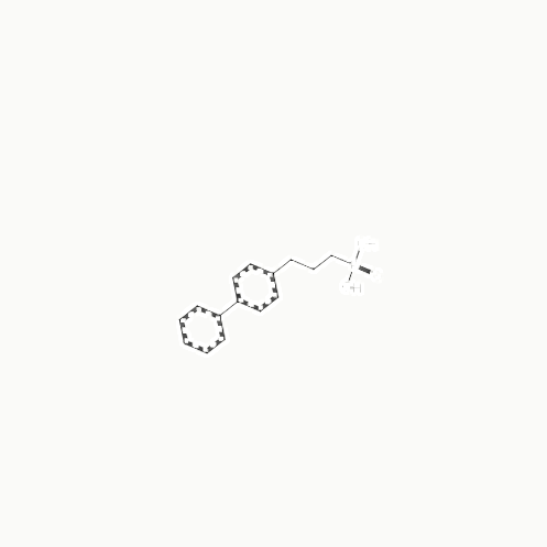 O=P(O)(O)CCCc1ccc(-c2ccccc2)cc1